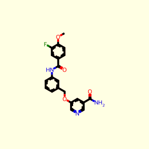 COc1ccc(C(=O)Nc2cccc(COc3cncc(C(N)=O)c3)c2)cc1F